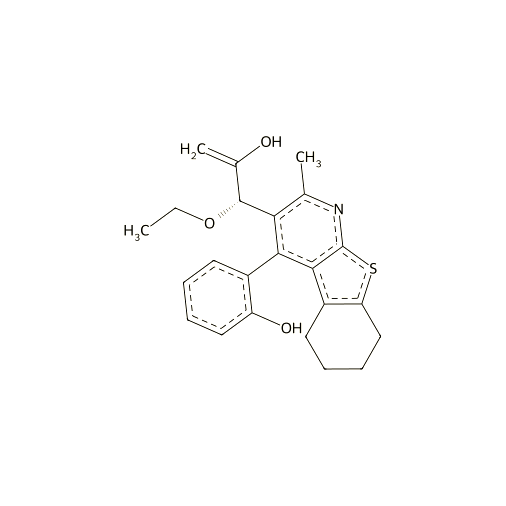 C=C(O)[C@@H](OCC)c1c(C)nc2sc3c(c2c1-c1ccccc1O)CCCC3